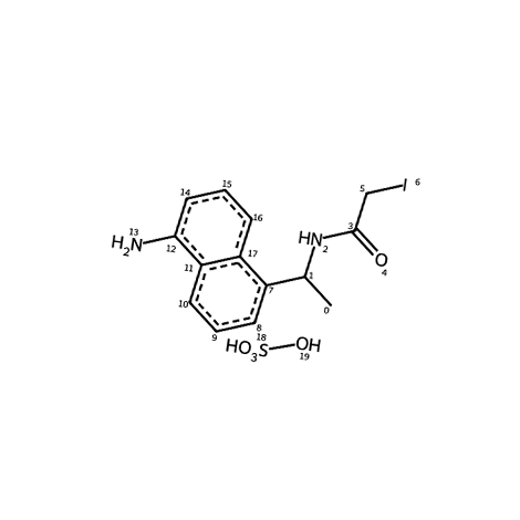 CC(NC(=O)CI)c1cccc2c(N)cccc12.O=S(=O)(O)O